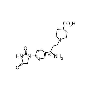 N[C@H](CCN1CCC(C(=O)O)CC1)c1ccc(N2CC(=O)NC2=O)nc1